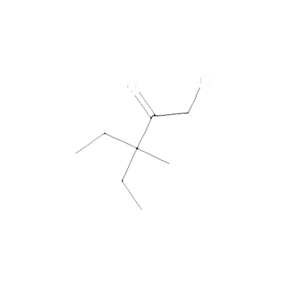 CCC(C)(CC)C(=O)CCl